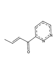 CC=CC(=O)c1cccnn1